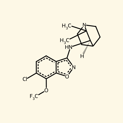 CC1(C)[C@H](Nc2noc3c(OC(F)(F)F)c(Cl)ccc23)C2CCN1CC2